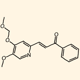 COCOc1cc(/C=C/C(=O)c2ccccc2)ncc1OC